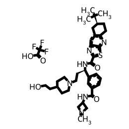 CN1CC(NC(=O)c2cccc([C@@H](CCN3CCC(CCO)CC3)NC(=O)c3nc4cc5c(nc4s3)CC[C@H](C(C)(C)C)C5)c2)C1.O=C(O)C(F)(F)F